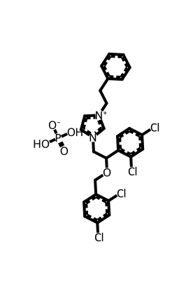 Clc1ccc(COC(Cn2cc[n+](CCc3ccccc3)c2)c2ccc(Cl)cc2Cl)c(Cl)c1.O=P([O-])(O)O